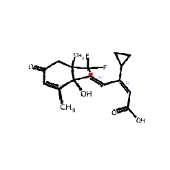 CC1=CC(=O)CC(C)(C(F)(F)F)C1(O)/C=C/C(=C\C(=O)O)C1CC1